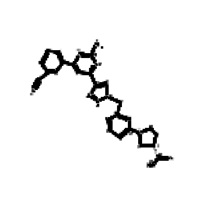 N#Cc1cccc(-c2cc(-c3cn(Cc4cccc(N5CC[C@H](C(=O)O)C5)n4)nn3)nc(N)n2)c1